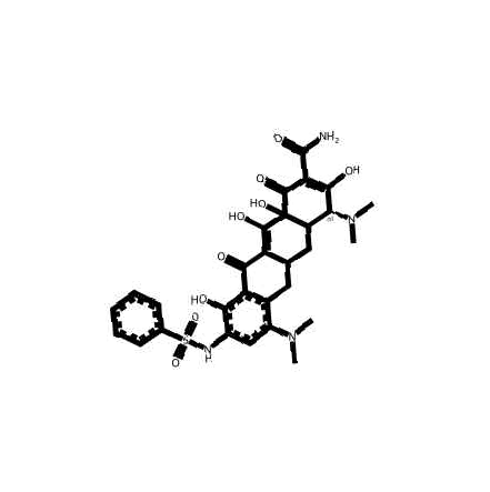 CN(C)c1cc(NS(=O)(=O)c2ccccc2)c(O)c2c1CC1CC3[C@H](N(C)C)C(O)=C(C(N)=O)C(=O)C3(O)C(O)=C1C2=O